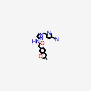 C[C@H]1COc2cc(CC(=O)Nc3ccn(Cc4ccc(C#N)cn4)n3)ccc2C1